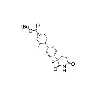 CC1CN(C(=O)OC(C)(C)C)CCC1c1ccc(C2(F)CCC(=O)NC2=O)cc1